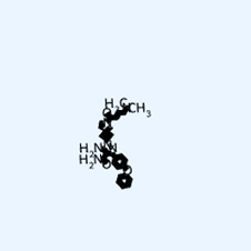 CN(C)C/C=C/C(=O)N1CC[C@]2(C1)C[C@@H](n1nc(-c3ccc(Oc4ccccc4)cc3)c(C(N)=O)c1N)C2